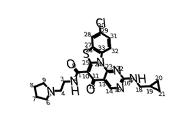 O=C(NCCN1CCCC1)c1c(=O)c2cnc(NCC3CC3)nc2n2c1sc1cc(Cl)ccc12